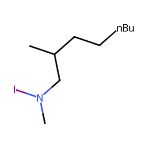 CCCCCCC(C)CN(C)I